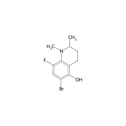 CC1CCc2c(O)c(Br)cc(F)c2N1C